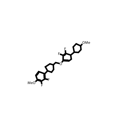 COc1ccc(C2CCC(COC3=CCC(C4CCC(OC)CC4)C(F)=C3F)CC2)c(F)c1F